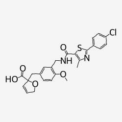 COc1ccc(CC2(C(=O)O)C=CCO2)cc1CNC(=O)c1sc(-c2ccc(Cl)cc2)nc1C